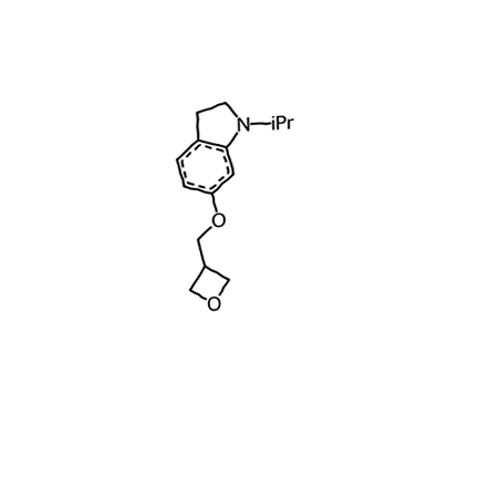 CC(C)N1CCc2ccc(OCC3COC3)cc21